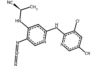 C[C@H](C#N)Nc1cc(Nc2ncc(C#N)cc2Cl)ncc1N=[N+]=[N-]